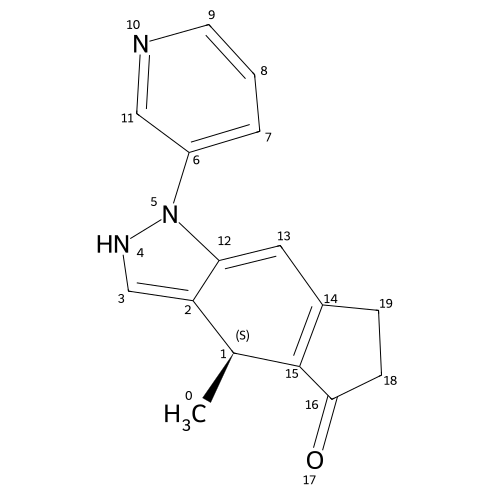 C[C@H]1C2=CNN(c3cccnc3)C2=CC2=C1C(=O)CC2